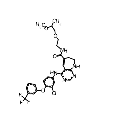 COC(C)COCCNC(=O)C1=Cc2c(ncnc2Nc2ccc(Oc3cccc(C(F)(F)F)c3)c(Cl)c2)NCC1